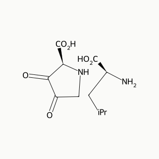 CC(C)C[C@H](N)C(=O)O.O=C1CN[C@H](C(=O)O)C1=O